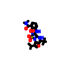 CC(C)c1coc([C@H](NC2=NS(=O)(=O)N=C2Nc2cccc(C(=O)N(C)C)c2O)C(C)(C)C)c1